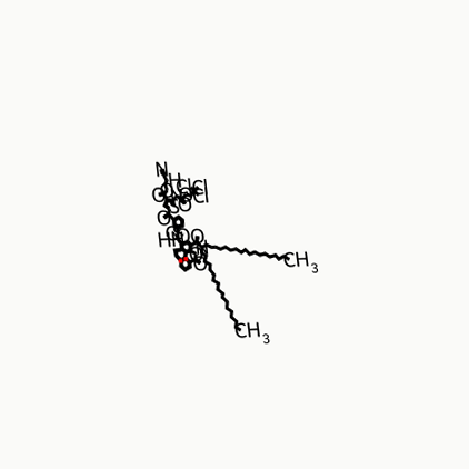 CCCCCCCCCCCCCCCCCCN(CCCCCCCCCCCCCCCCCC)C(=O)c1cc(NS(=O)(=O)c2cccc(C(=O)c3cc(C(=O)OCCC#N)c(NC(=O)OCC(Cl)(Cl)Cl)s3)c2)c2ccccc2c1OC(=O)c1ccccc1